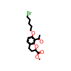 COC(=O)C1CCc2ccc(OCCCCCBr)c(C(C)=O)c2O1